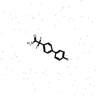 NC(=O)C(F)(F)c1ccc(-c2ccc(F)cc2)cc1